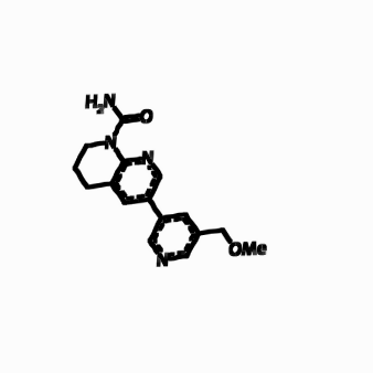 COCc1cncc(-c2cnc3c(c2)CCCN3C(N)=O)c1